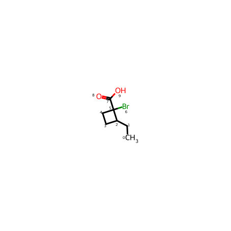 CCC1CCC1(Br)C(=O)O